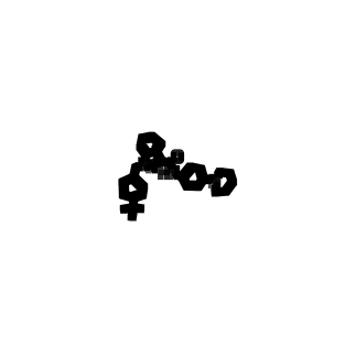 CC(C)(C)c1ccc(Cn2nc(C(=O)Nc3ccc(N4CCCCC4)cc3)c3ccccc32)cc1